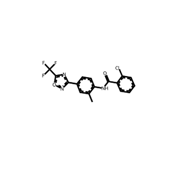 Cc1cc(-c2noc(C(F)(F)F)n2)ccc1NC(=O)c1ccccc1Cl